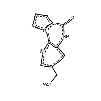 O=c1[nH]c2cc(CO)cnc2n2nccc12